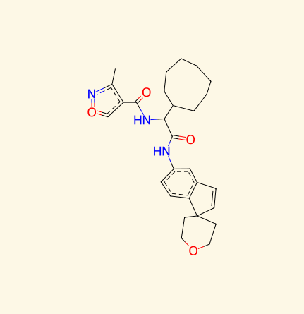 Cc1nocc1C(=O)NC(C(=O)Nc1ccc2c(c1)C=CC21CCOCC1)C1CCCCCCC1